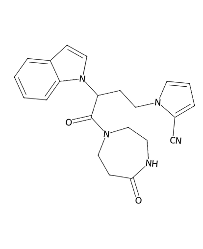 N#Cc1cccn1CCC(C(=O)N1CCNC(=O)CC1)n1ccc2ccccc21